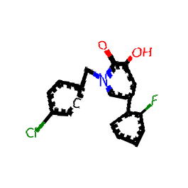 O=c1c(O)cc(-c2ccccc2F)cn1Cc1ccc(Cl)cc1